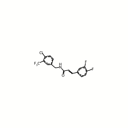 O=C(/C=C/c1ccc(F)c(F)c1)NCc1ccc(Cl)c(C(F)(F)F)c1